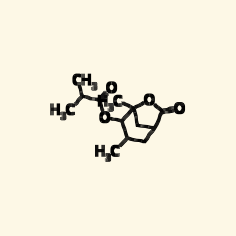 CC(C)C(=O)OC1C(C)CC2CC1(C)OC2=O